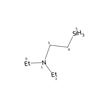 CCN(CC)CC[SiH3]